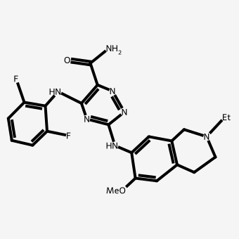 CCN1CCc2cc(OC)c(Nc3nnc(C(N)=O)c(Nc4c(F)cccc4F)n3)cc2C1